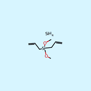 C=CC[Si](CC=C)(OC)OC.[SiH4]